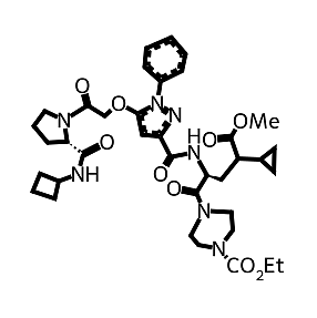 CCOC(=O)N1CCN(C(=O)[C@H](CC(C(=O)OC)C2CC2)NC(=O)c2cc(OCC(=O)N3CCC[C@H]3C(=O)NC3CCC3)n(-c3ccccc3)n2)CC1